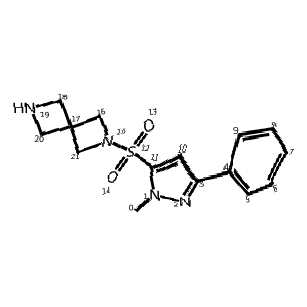 Cn1nc(-c2ccccc2)cc1S(=O)(=O)N1CC2(CNC2)C1